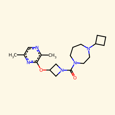 Cc1cnc(C)c(OC2CN(C(=O)N3CCCN(C4CCC4)CC3)C2)n1